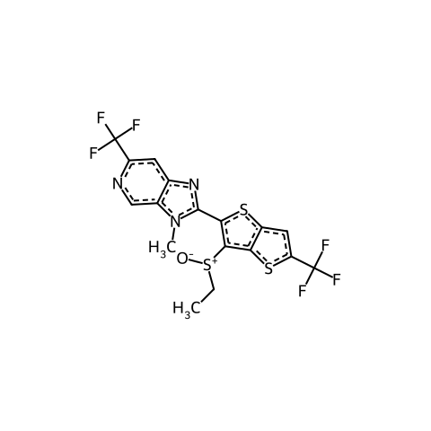 CC[S+]([O-])c1c(-c2nc3cc(C(F)(F)F)ncc3n2C)sc2cc(C(F)(F)F)sc12